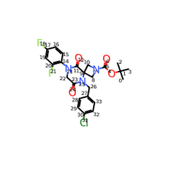 CC(C)(C)OC(=O)N1CC2(C1)C(=O)N(c1ccc(F)cc1F)CC(=O)N2Cc1ccc(Cl)cc1